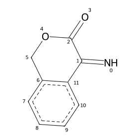 N=C1C(=O)OCc2ccccc21